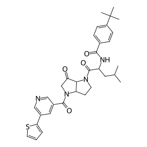 CC(C)CC(NC(=O)c1ccc(C(C)(C)C)cc1)C(=O)N1CCC2C1C(=O)CN2C(=O)c1cncc(-c2cccs2)c1